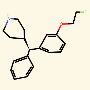 FCCOc1cccc([C@@H](c2ccccc2)C2CCNCC2)c1